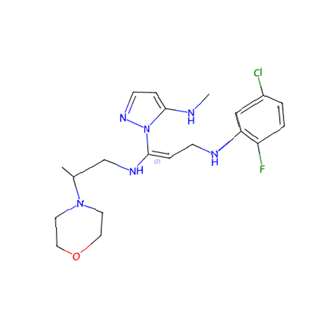 CNc1ccnn1/C(=C\CNc1cc(Cl)ccc1F)NCC(C)N1CCOCC1